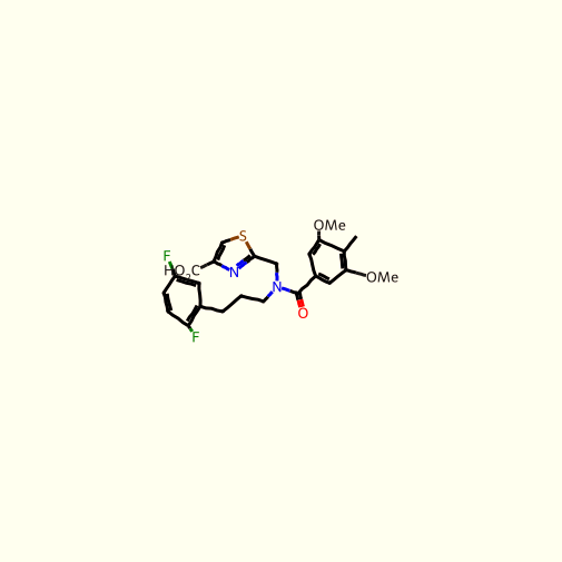 COc1cc(C(=O)N(CCCc2cc(F)ccc2F)Cc2nc(C(=O)O)cs2)cc(OC)c1C